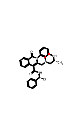 CC[C@H](NC(=O)c1c(CN2CCN[C@H](C)C2)n(-c2ccccc2)c(=O)c2ccccc12)c1ccccc1